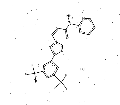 Cl.NN(C(=O)/C=C\n1cnc(-c2cc(C(F)(F)F)cc(C(F)(F)F)c2)n1)c1ccccn1